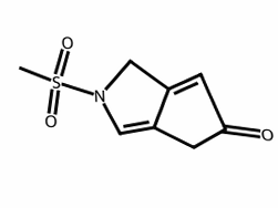 CS(=O)(=O)N1C=C2CC(=O)C=C2C1